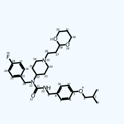 CC(C)COc1ccc(CNC(=O)N(Cc2ccc(F)cc2)C2CCN(CCC3OCCCO3)CC2)cc1